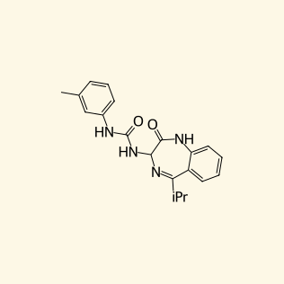 Cc1cccc(NC(=O)NC2N=C(C(C)C)c3ccccc3NC2=O)c1